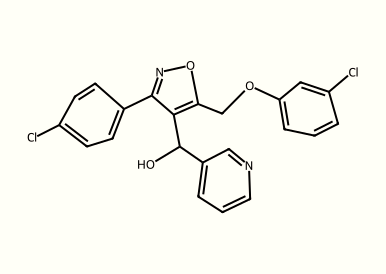 OC(c1cccnc1)c1c(-c2ccc(Cl)cc2)noc1COc1cccc(Cl)c1